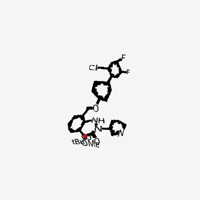 COC(=O)c1cccc(COc2ccc(-c3cc(F)c(F)cc3Cl)cc2)c1NN(C(=O)OC(C)(C)C)c1cccnc1